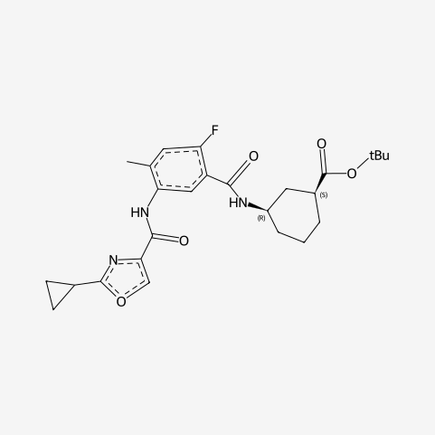 Cc1cc(F)c(C(=O)N[C@@H]2CCC[C@H](C(=O)OC(C)(C)C)C2)cc1NC(=O)c1coc(C2CC2)n1